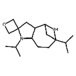 CC(C)N1C2CCC3(C(C)C)BC(C3)C2CC12COC2